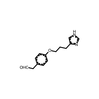 O=CCc1ccc(OCCCc2c[nH]cn2)cc1